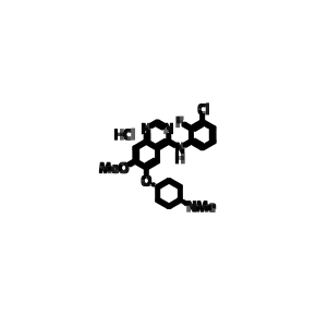 CN[C@H]1CC[C@H](Oc2cc3c(Nc4cccc(Cl)c4F)ncnc3cc2OC)CC1.Cl